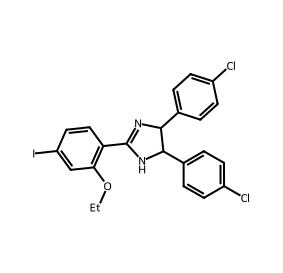 CCOc1cc(I)ccc1C1=NC(c2ccc(Cl)cc2)C(c2ccc(Cl)cc2)N1